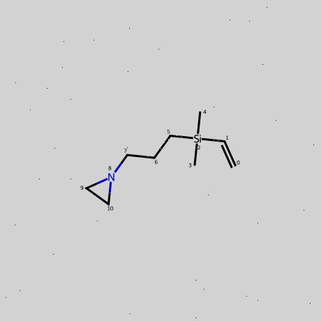 C=C[Si](C)(C)CCCN1CC1